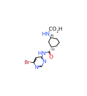 O=C(O)N[C@@H]1CCC[C@H](C(=O)Nc2cc(Br)ncn2)C1